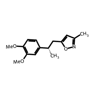 COc1ccc([C@@H](C)Cc2cc(C)no2)cc1OC